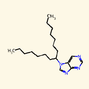 CCCCCCCC(CCCCCCC)n1cnc2ncncc21